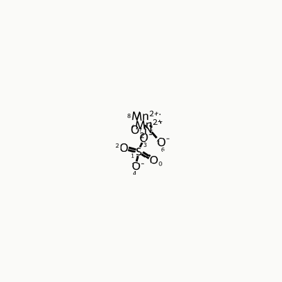 O=S(=O)([O-])[O-].O=[N+]([O-])[O-].[Mn+2].[Mn+2]